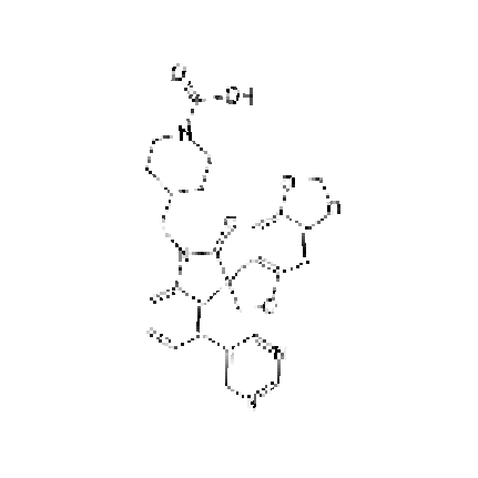 O=C(O)N1CCC(CN2C(=O)C3(COc4cc5c(cc43)OCO5)c3c(-c4cncnc4)cccc32)CC1